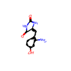 Nc1cc(O)ccc1/C=C1/NC(=O)NC1=O